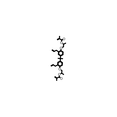 C=CCc1cc(C(C)(C)c2ccc(OCC(C)OC(=O)C(=C)C)c(CC=C)c2)ccc1OCC(C)OC(=O)C(=C)C